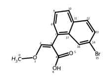 COC=C(C(=O)O)c1cccc2ccc(Br)cc12